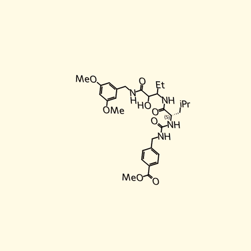 CCC(NC(=O)[C@H](CC(C)C)NC(=O)NCc1ccc(C(=O)OC)cc1)C(O)C(=O)NCc1cc(OC)cc(OC)c1